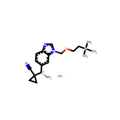 C[Si](C)(C)CCOCn1cnc2ccc([C@H](N)C3(C#N)CC3)cc21.Cl